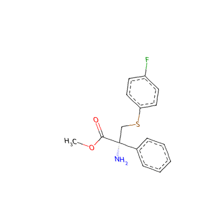 COC(=O)[C@@](N)(CSc1ccc(F)cc1)c1ccccc1